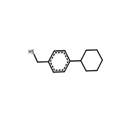 SCc1ccc(C2CCCCC2)cc1